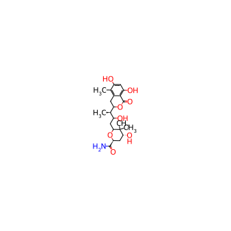 Cc1c(O)cc(O)c2c1CC([C@H](C)C(O)CC1O[C@H](C(N)=O)C[C@@H](O)C1(C)C)OC2=O